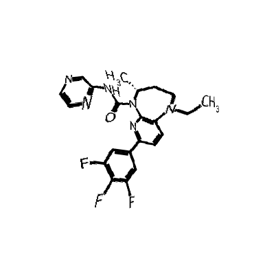 CCN1CC[C@@H](C)N(C(=O)Nc2cnccn2)c2nc(-c3cc(F)c(F)c(F)c3)ccc21